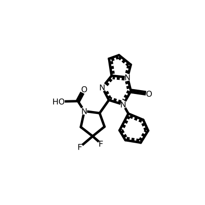 O=C(O)N1CC(F)(F)CC1c1nc2cccn2c(=O)n1-c1ccccc1